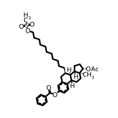 CC(=O)O[C@H]1CC[C@H]2[C@@H]3[C@H](CCCCCCCCCCCOS(C)(=O)=O)Cc4cc(OC(=O)c5ccccc5)ccc4[C@H]3CC[C@]12C